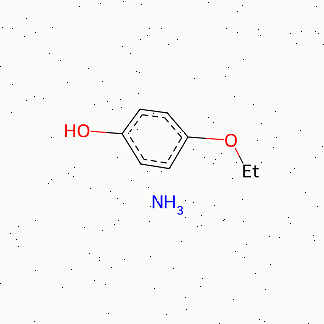 CCOc1ccc(O)cc1.N